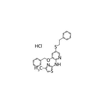 Cc1csc(Nc2ncc(SCCc3ccccc3)cc2OCc2ccccc2)n1.Cl